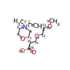 CC[N+]1(C)CCOCC1.COCCOCCC(=O)[O-]